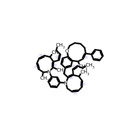 CC/C=C\C1=C(/Cc2ccc3c(c2)C(C)/C=C(/c2ccccc2)CCCCO3)N(c2cccc(N3/C(C)=C(/C=C\CC)C(C)/C=C\C=C/C3C)c2)C/C=C\C=C/C1C